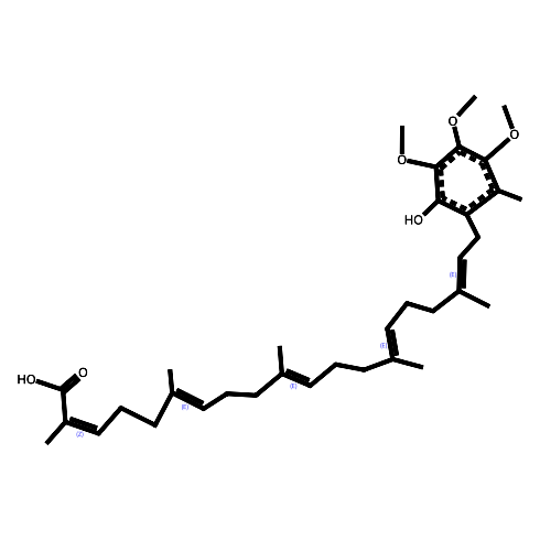 COc1c(C)c(C/C=C(\C)CC/C=C(\C)CC/C=C(\C)CC/C=C(\C)CC/C=C(/C)C(=O)O)c(O)c(OC)c1OC